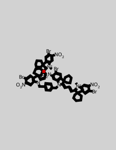 C[N+]1=C(/C=C/C=C2/N(Cc3ccc(CN4/C(=C/C=C/C5=[N+](C)c6cc([N+](=O)[O-])c(Br)cc6C56CCCCC6)C5(CCCCC5)c5cc(Br)c([N+](=O)[O-])cc54)cc3)c3cc([N+](=O)[O-])c(Br)cc3C23CCCCC3)C2(CCCCC2)c2cc(Br)c([N+](=O)[O-])cc21